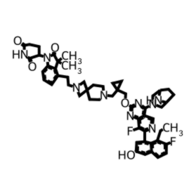 CCc1c(F)ccc2cc(O)cc(-c3ncc4c(N5CC6CCC(C5)N6)nc(OCC5(CN6CCC7(CC6)CN(CCc6cccc8c6C(C)(C)C(=O)N8C6CCC(=O)NC6=O)C7)CC5)nc4c3F)c12